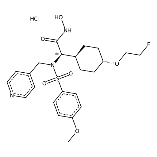 COc1ccc(S(=O)(=O)N(Cc2ccncc2)[C@@H](C(=O)NO)[C@H]2CC[C@H](OCCF)CC2)cc1.Cl